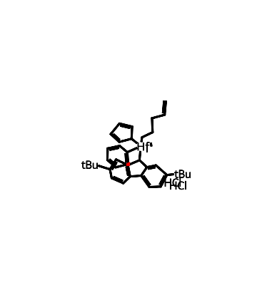 C=CCC[CH2][Hf](=[CH2])([c]1ccccc1)([CH]1C=CC=C1)[CH]1c2cc(C(C)(C)C)ccc2-c2ccc(C(C)(C)C)cc21.Cl.Cl